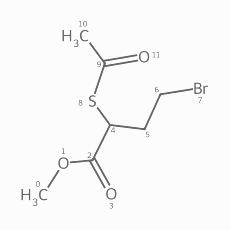 COC(=O)C(CCBr)SC(C)=O